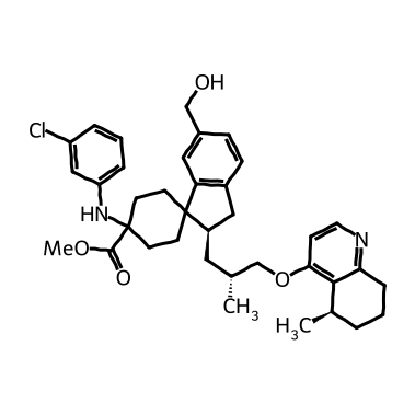 COC(=O)C1(Nc2cccc(Cl)c2)CCC2(CC1)c1cc(CO)ccc1C[C@H]2C[C@@H](C)COc1ccnc2c1[C@H](C)CCC2